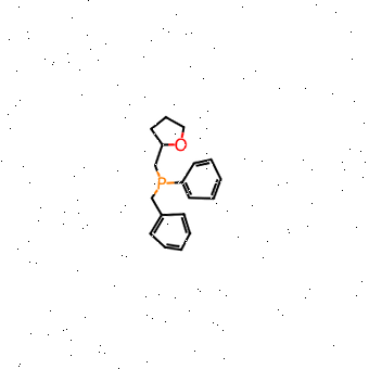 c1ccc(CP(CC2CCCO2)c2ccccc2)cc1